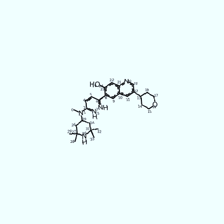 CN(C(=N)/C=C\C(=N)c1cc2cc(C3CCOCC3)cnc2cc1O)C1CC(C)(C)NC(C)(C)C1